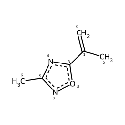 C=C(C)c1nc(C)no1